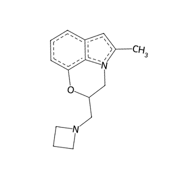 Cc1cc2cccc3c2n1CC(CN1CCC1)O3